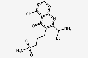 CC[C@H](N)c1nc2cccc(Cl)c2c(=O)n1CCCS(C)(=O)=O